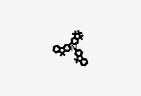 CC1(C)c2ccccc2-c2ccc(-n3c4cc5c(cc4c4cc6c(cc43)C(C)(C)C(C)(C)C6(C)C)-c3ccccc3C5(C)C)cc21